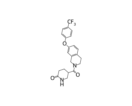 O=C1CCC(C(=O)N2CCc3ccc(Oc4ccc(C(F)(F)F)cc4)cc3C2)CN1